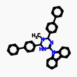 CN1C(c2ccc(-c3ccccc3)cc2)N=C(n2c3ccccc3c3ccccc32)NC1c1ccc(-c2ccccc2)cc1